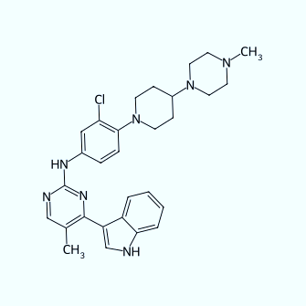 Cc1cnc(Nc2ccc(N3CCC(N4CCN(C)CC4)CC3)c(Cl)c2)nc1-c1c[nH]c2ccccc12